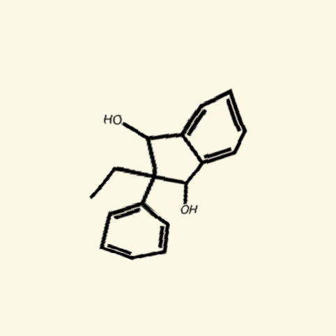 CCC1(c2ccccc2)C(O)c2ccccc2C1O